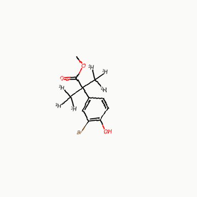 [2H]C([2H])([2H])C(C(=O)OC)(c1ccc(O)c(Br)c1)C([2H])([2H])[2H]